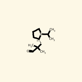 CC(C)N1CCC[C@H]1CC(C)(C)C=O